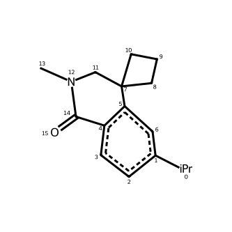 CC(C)c1ccc2c(c1)C1(CCC1)CN(C)C2=O